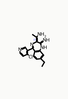 CCc1ccc2c(c1)NC(=N)/C(=C(/C)N)N=C2c1cnccc1Cl